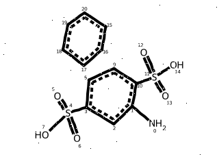 Nc1cc(S(=O)(=O)O)ccc1S(=O)(=O)O.c1ccccc1